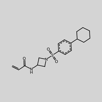 C=CC(=O)NC1CN(S(=O)(=O)c2ccc(C3CCCCC3)cc2)C1